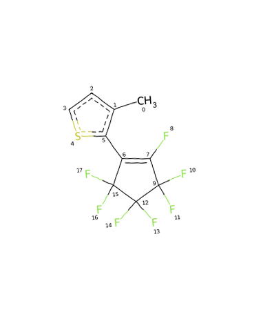 Cc1ccsc1C1=C(F)C(F)(F)C(F)(F)C1(F)F